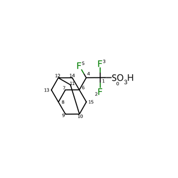 O=S(=O)(O)C(F)(F)C(F)C12CC3CC(CC(C3)C1)C2